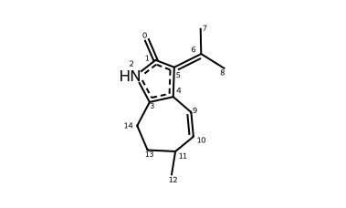 C=c1[nH]c2c(c1=C(C)C)C=CC(C)CC2